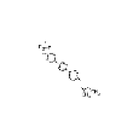 CCC(C)CCC1CCC(c2ccc(-c3ccc(OC(F)(F)F)cc3)cc2)CC1